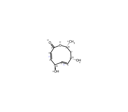 C[C@@H]1C[C@H](O)/C=C/[C@@H](O)/C=C\C(=O)O1